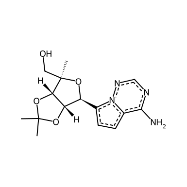 CC1(C)O[C@H]2[C@H](c3ccc4c(N)ncnn34)O[C@](C)(CO)[C@H]2O1